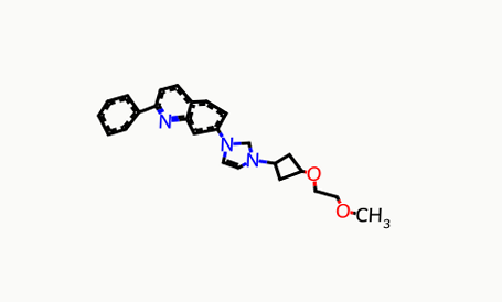 COCCOC1CC(N2C=CN(c3ccc4ccc(-c5ccccc5)nc4c3)C2)C1